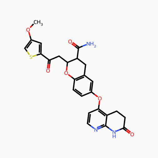 COc1csc(C(=O)CC2Oc3ccc(Oc4ccnc5c4CCC(=O)N5)cc3CC2C(N)=O)c1